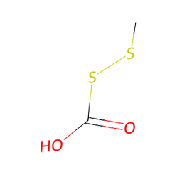 CSSC(=O)O